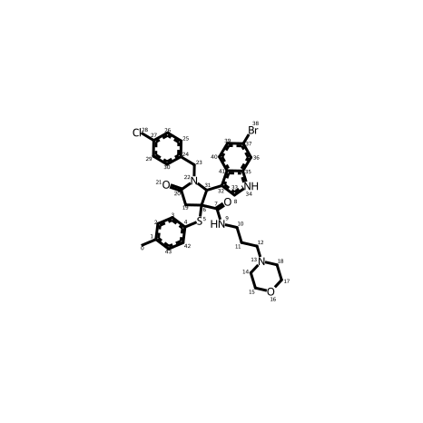 Cc1ccc(SC2(C(=O)NCCCN3CCOCC3)CC(=O)N(Cc3ccc(Cl)cc3)C2c2c[nH]c3cc(Br)ccc23)cc1